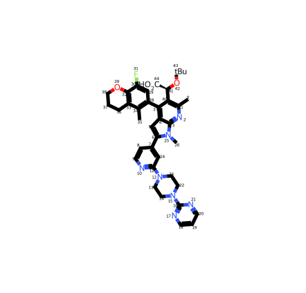 Cc1nc2c(cc(-c3ccnc(N4CCN(c5ncccn5)CC4)c3)n2C)c(-c2cc(F)c3c(c2C)CCCO3)c1[C@H](OC(C)(C)C)C(=O)O